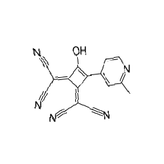 Cc1cc(C2=C(O)C(=C(C#N)C#N)C2=C(C#N)C#N)ccn1